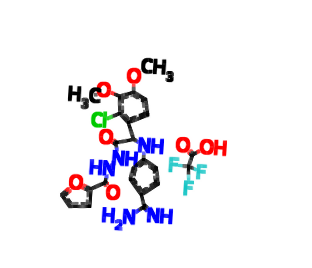 COc1ccc(C(Nc2ccc(C(=N)N)cc2)C(=O)NNC(=O)c2ccco2)c(Cl)c1OC.O=C(O)C(F)(F)F